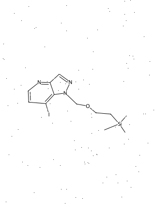 C[Si](C)(C)CCOCn1ncc2nccc(I)c21